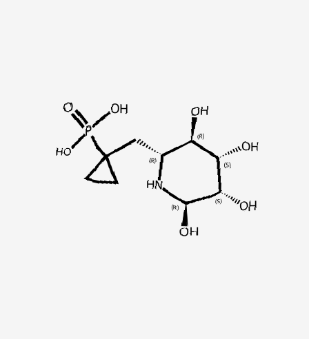 O=P(O)(O)C1(C[C@H]2N[C@H](O)[C@@H](O)[C@@H](O)[C@@H]2O)CC1